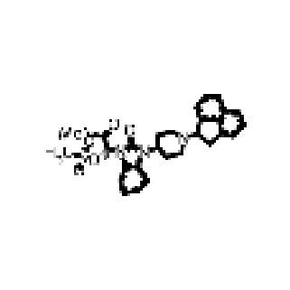 CNC(=O)[C@@H](OS(C)(=O)=O)n1c(=O)n(C2CCN(C3Cc4cccc5cccc3c45)CC2)c2ccccc21